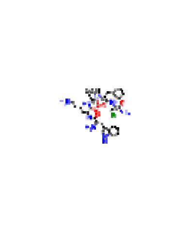 NCCCC[C@H](NC(=O)[C@H](N)Cc1c[nH]c2ccccc12)C(=O)N[C@@H](CC(=O)O)C(=O)N[C@@H](Cc1ccccc1)C(=O)N[C@H](CBr)C(N)=O